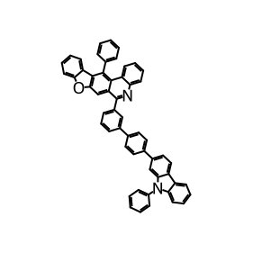 c1ccc(-c2c3c(cc4c(-c5cccc(-c6ccc(-c7ccc8c9ccccc9n(-c9ccccc9)c8c7)cc6)c5)nc5ccccc5c24)oc2ccccc23)cc1